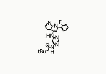 CC(C)(C)CC(=O)Nc1cc(Nc2cc(-c3ccccc3F)nc3ncccc23)ncn1